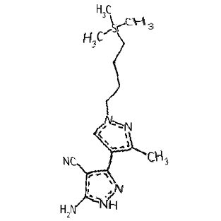 Cc1nn(CCCC[Si](C)(C)C)cc1-c1n[nH]c(N)c1C#N